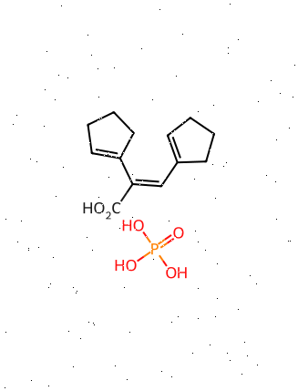 O=C(O)C(=CC1=CCCC1)C1=CCCC1.O=P(O)(O)O